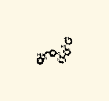 c1ccc2[nH]c(Cc3ccc(Oc4nccnc4-c4ccnc(N[C@H]5CCCNC5)n4)cc3)nc2c1